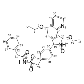 CCOC1CC2=C(c3ncccc31)C(OCC)[NH+]([O-])C2c1ccc(CS(=O)(=O)NC(=O)Cc2ccccc2)cc1